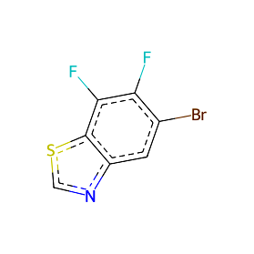 Fc1c(Br)cc2ncsc2c1F